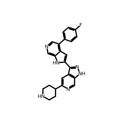 Fc1ccc(-c2cncc3[nH]c(-c4n[nH]c5cnc(C6CCNCC6)cc45)cc23)cc1